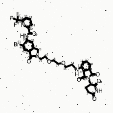 O=C1CCC(N2C(=O)c3cccc(NCCOCCOCCN4Cc5cc(NC(=O)c6cccc(C(F)(F)F)n6)c(Br)cc5C4=O)c3C2=O)C(=O)N1